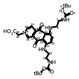 CC(C)(C)OC(=O)NCCNc1ccc(NCCNC(=O)OC(C)(C)C)c2c1C(=O)c1cc[n+](CC(=O)O)cc1C2=O